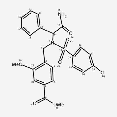 COC(=O)c1ccc(CN(C(C(N)=O)c2ccccc2)S(=O)(=O)c2ccc(Cl)cc2)c(OC)c1